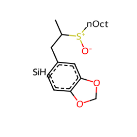 CCCCCCCC[S+]([O-])C(C)Cc1ccc2c(c1)OCO2.[SiH4]